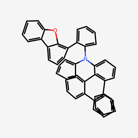 c1ccc(-c2ccccc2-c2c(-c3ccccc3)cccc2N(c2ccccc2)c2ccccc2-c2cccc3c2oc2ccccc23)cc1